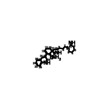 N=C1CCCCN1CCCCCC1(C(=N)N)C=CC=C(C2=Cc3ccccc3NC2)C1=O